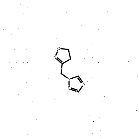 c1ncn(CC2=NOCC2)n1